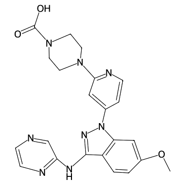 COc1ccc2c(Nc3cnccn3)nn(-c3ccnc(N4CCN(C(=O)O)CC4)c3)c2c1